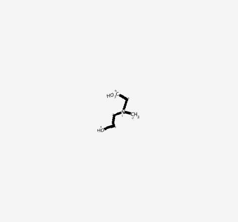 CN(CCO)CC(=O)O